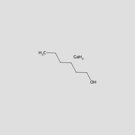 CCCCCCO.[GaH3]